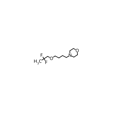 CC(F)(F)COCCCCN1CCOCC1